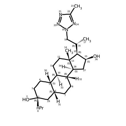 CCC[C@@]1(O)CC[C@H]2[C@H](CC[C@@H]3[C@@H]2CC[C@]2(C)[C@@H]([C@@H](C)Cn4nnc(C)n4)[C@@H](O)C[C@@H]32)C1